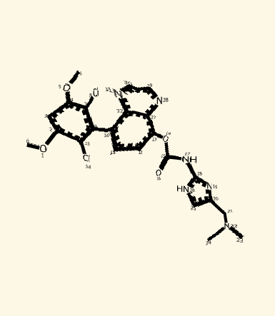 COc1cc(OC)c(Cl)c(-c2ccc(OC(=O)Nc3nc(CN(C)C)c[nH]3)c3nccnc23)c1Cl